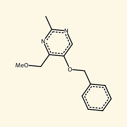 COCc1nc(C)ncc1OCc1ccccc1